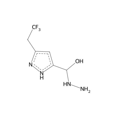 NNC(O)c1cc(CC(F)(F)F)n[nH]1